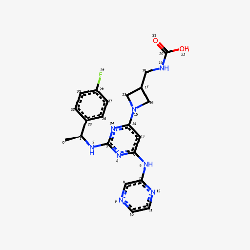 C[C@H](Nc1nc(Nc2cnccn2)cc(N2CC(CNC(=O)O)C2)n1)c1ccc(F)cc1